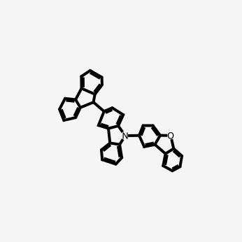 c1ccc2c(c1)-c1ccccc1C2c1ccc2c(c1)c1ccccc1n2-c1ccc2oc3ccccc3c2c1